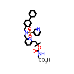 CC(C)(Cc1cccc(CN(Cc2ccc(-c3ccccc3)cc2)S(=O)(=O)c2cccnc2)n1)OC(=O)NCC(=O)O